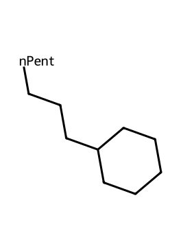 [CH2]CCCCCCCC1CCCCC1